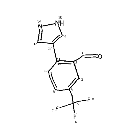 O=Cc1cc(C(F)(F)F)ccc1-c1cn[nH]c1